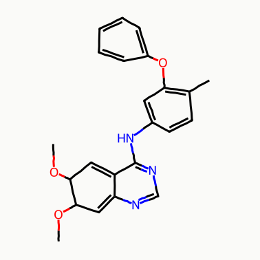 COC1C=c2ncnc(Nc3ccc(C)c(Oc4ccccc4)c3)c2=CC1OC